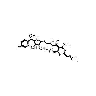 C=C\C=C/N=C(N)\C(=C(/C)CCCC[C@@H]1O[C@H]([C@H](O)c2ccc(F)cn2)[C@@H](O)[C@H]1O)C(\F)=C/C